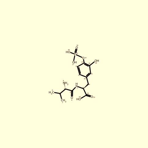 CC(C)[C@H](N)C(=O)N[C@@H](Cc1ccc(OP(=O)(O)O)c(O)c1)C(=O)O